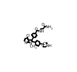 Cn1c(-c2ccc(N3CCNCC3)cc2)c(-c2ccc(C(=O)NCCC(N)=O)cc2)c2c(Cl)ccnc21